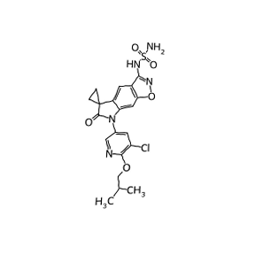 CC(C)COc1ncc(N2C(=O)C3(CC3)c3cc4c(NS(N)(=O)=O)noc4cc32)cc1Cl